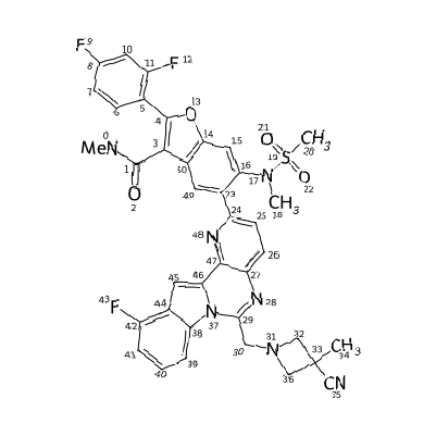 CNC(=O)c1c(-c2ccc(F)cc2F)oc2cc(N(C)S(C)(=O)=O)c(-c3ccc4nc(CN5CC(C)(C#N)C5)n5c6cccc(F)c6cc5c4n3)cc12